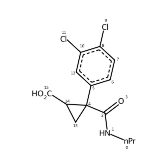 CCCNC(=O)C1(c2ccc(Cl)c(Cl)c2)CC1C(=O)O